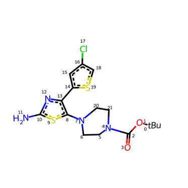 CC(C)(C)OC(=O)N1CCN(c2sc(N)nc2-c2cc(Cl)cs2)CC1